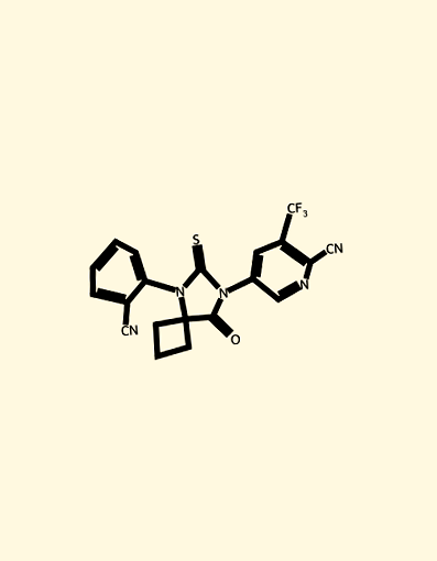 N#Cc1ccccc1N1C(=S)N(c2cnc(C#N)c(C(F)(F)F)c2)C(=O)C12CCC2